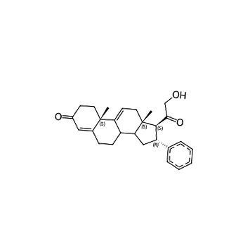 C[C@]12CCC(=O)C=C1CCC1C2=CC[C@@]2(C)C1C[C@@H](c1ccccc1)[C@@H]2C(=O)CO